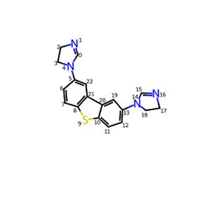 C1=NCCN1c1ccc2sc3ccc(N4C=NCC4)cc3c2c1